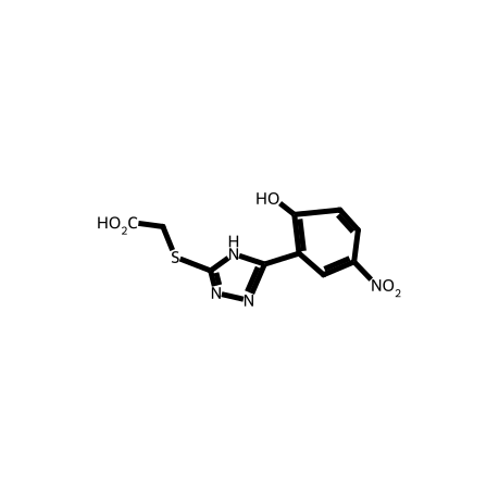 O=C(O)CSc1nnc(-c2cc([N+](=O)[O-])ccc2O)[nH]1